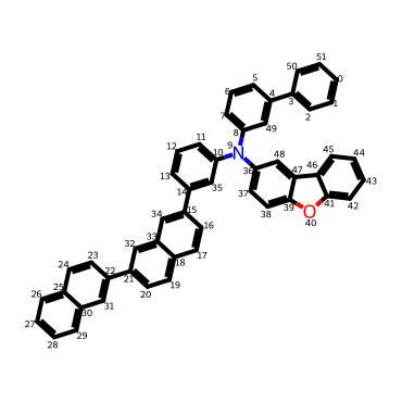 c1ccc(-c2cccc(N(c3cccc(-c4ccc5ccc(-c6ccc7ccccc7c6)cc5c4)c3)c3ccc4oc5ccccc5c4c3)c2)cc1